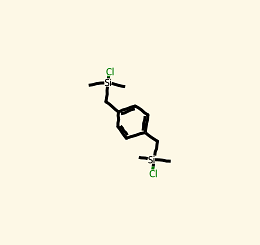 C[Si](C)(Cl)Cc1ccc(C[Si](C)(C)Cl)cc1